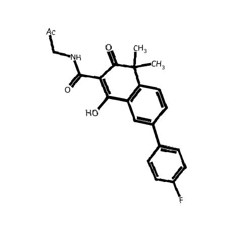 CC(=O)CNC(=O)C1=C(O)c2cc(-c3ccc(F)cc3)ccc2C(C)(C)C1=O